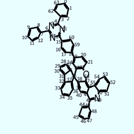 c1ccc(-c2nc(-c3ccccc3)nc(-c3ccc(-c4ccc5c(c4)C4(c6ccccc6-c6ccccc64)c4ccc6c(-c7ccccc7)nc7ccccc7c6c4O5)cc3)n2)cc1